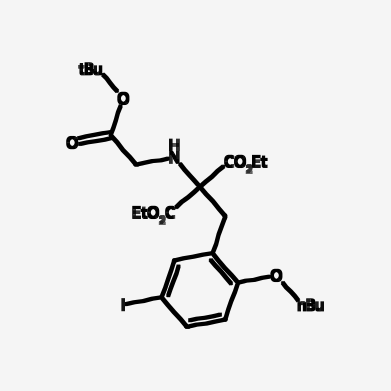 CCCCOc1ccc(I)cc1CC(NCC(=O)OC(C)(C)C)(C(=O)OCC)C(=O)OCC